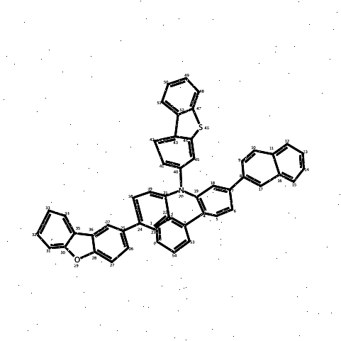 c1ccc(-c2ccc(-c3ccc4ccccc4c3)cc2N(c2ccc(-c3ccc4oc5ccccc5c4c3)cc2)c2ccc3c(c2)sc2ccccc23)cc1